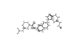 CC(C)CN1CCCC(C(=O)Nc2ncc3ccc(-c4cnn5c4CN(CCF)CC5)cc3n2)C1